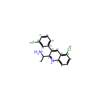 CC(N)c1nc2cccc(Cl)c2cc1-c1cccc(F)c1